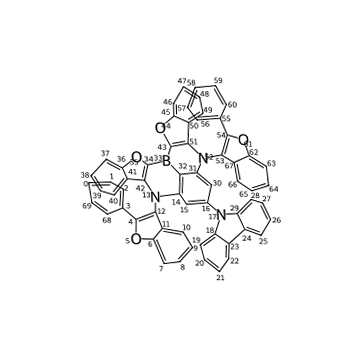 c1ccc(-c2oc3ccccc3c2N2c3cc(-n4c5ccccc5c5ccccc54)cc4c3B(c3oc5ccccc5c32)c2oc3ccccc3c2N4c2c(-c3ccccc3)oc3ccccc23)cc1